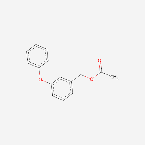 CC(=O)OCc1cccc(Oc2ccccc2)c1